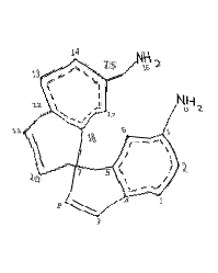 Nc1ccc2c(c1)C1(C=C2)C=Cc2ccc(N)cc21